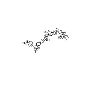 CCc1cc(-c2cc(NC(=O)Cc3ccc(CN4CCN(C)CC4)c(C(F)(F)F)c3)nn2C)cc2cnc(NC3CCC(NC(=O)OC(C)(C)C)CC3)nc12